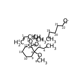 C=CC.CCCC1(OC)CCCC[Si]1(OC)OC.CCCCC[O]